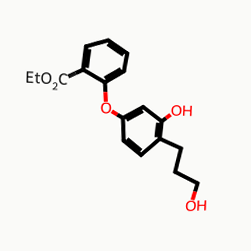 CCOC(=O)c1ccccc1Oc1ccc(CCCO)c(O)c1